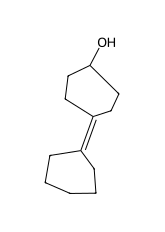 OC1CCC(=C2CCCCC2)CC1